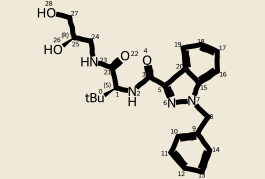 CC(C)(C)[C@H](NC(=O)c1nn(Cc2ccccc2)c2ccccc12)C(=O)NC[C@@H](O)CO